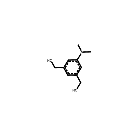 CN(C)c1cc(CC#N)cc(CC#N)c1